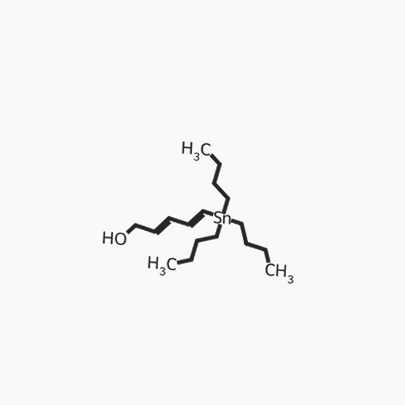 CCC[CH2][Sn]([CH]=CC=CCO)([CH2]CCC)[CH2]CCC